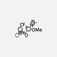 COc1cc(C(=O)NCC2(c3ccc(C(F)(F)F)cc3)CCCC2)ccc1-n1cnc(C)c1